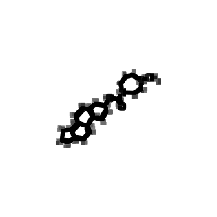 CN1CCCN(C(=O)Oc2ccc3c(ccc4c5c(ccc43)C=CC5)c2)CC1